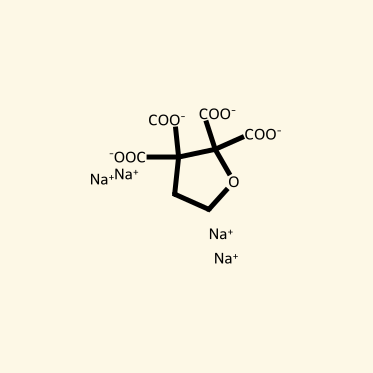 O=C([O-])C1(C(=O)[O-])CCOC1(C(=O)[O-])C(=O)[O-].[Na+].[Na+].[Na+].[Na+]